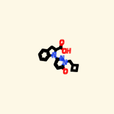 O=C(O)C1Cc2ccccc2N1c1ccc(=O)n(CC2CCC2)n1